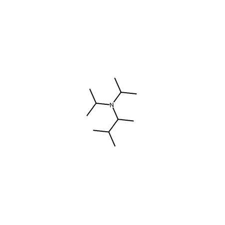 CC(C)C(C)N(C(C)C)C(C)C